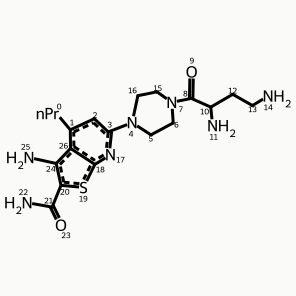 CCCc1cc(N2CCN(C(=O)C(N)CCN)CC2)nc2sc(C(N)=O)c(N)c12